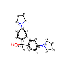 CC(O)(c1ccc(N2CCCC2)cc1)c1ccc(N2CCCC2)cc1